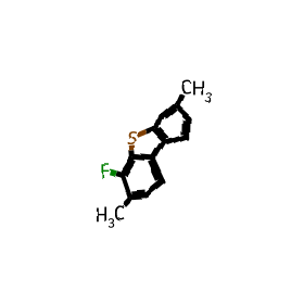 Cc1ccc2c(c1)sc1c(F)c(C)ccc12